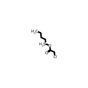 CCCC[SiH2]OC(=O)CCl